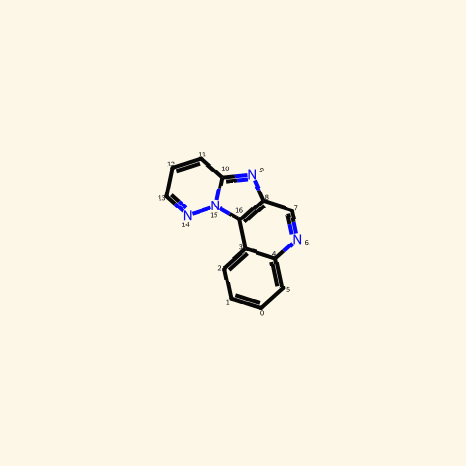 c1ccc2c(c1)ncc1nc3cccnn3c12